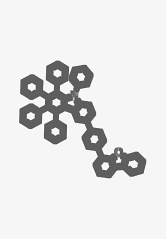 c1ccc(-c2c(-c3ccccc3)c(-c3ccccc3)c3c(c2-c2ccccc2)c2cc(-c4ccc(-c5cccc6c5oc5ccccc56)cc4)ccc2n3-c2ccccc2)cc1